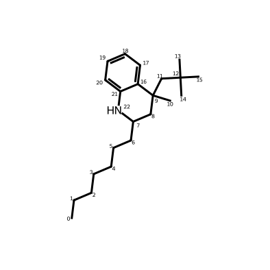 CCCCCCCC1CC(C)(CC(C)(C)C)c2ccccc2N1